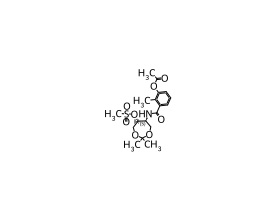 CC(=O)Oc1cccc(C(=O)N[C@H]2COC(C)(C)OC[C@@H]2OS(C)(=O)=O)c1C